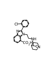 O=C(O)c1cccc2nc(-c3ccccc3Cl)n(CCNC3CN4CCC3CC4)c12